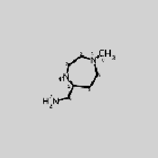 CN1CC[N]C(CN)CC1